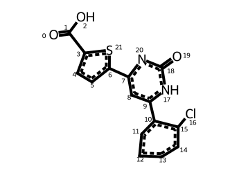 O=C(O)c1ccc(-c2cc(-c3ccccc3Cl)[nH]c(=O)n2)s1